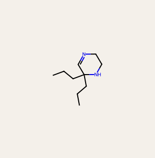 CCCC1(CCC)C=NCCN1